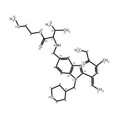 C/C=C(\C=C(\C)C(=O)CC)c1nc2cc(CNC(C(=O)OCCOC)C(C)C)ccc2n1CC1CCOCC1